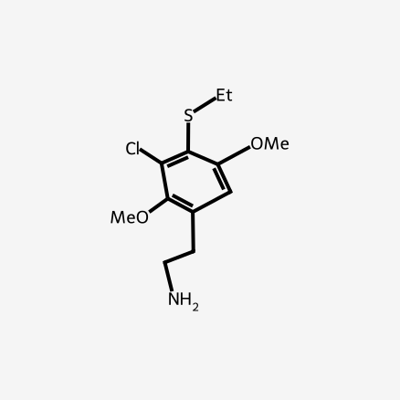 CCSc1c(OC)cc(CCN)c(OC)c1Cl